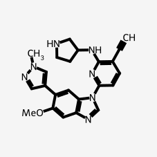 C#Cc1ccc(-n2cnc3cc(OC)c(-c4cnn(C)c4)cc32)nc1NC1CCNC1